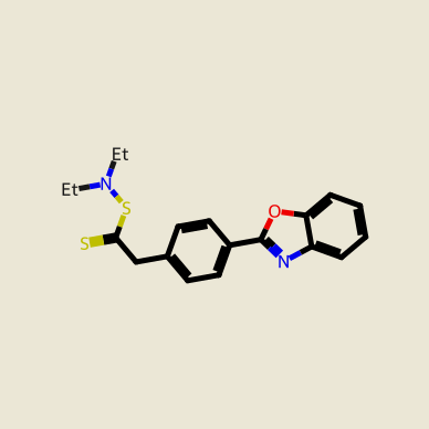 CCN(CC)SC(=S)Cc1ccc(-c2nc3ccccc3o2)cc1